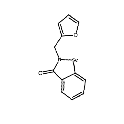 O=c1c2ccccc2[se]n1Cc1ccco1